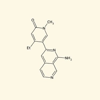 CCc1cc(=O)n(C)cc1-c1cc2ccncc2c(N)n1